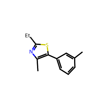 CCc1nc(C)c(-c2cccc(C)c2)s1